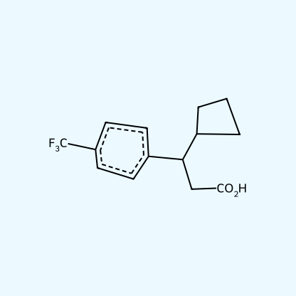 O=C(O)CC(c1ccc(C(F)(F)F)cc1)C1CCC1